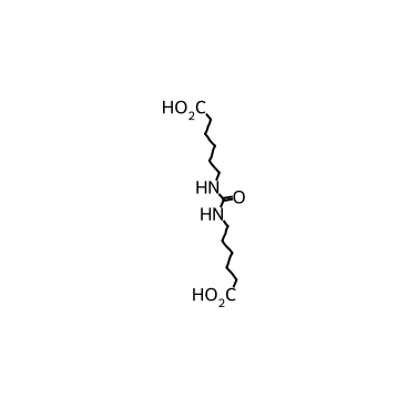 O=C(O)CCCCCNC(=O)NCCCCCC(=O)O